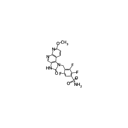 COc1ccc2c(ncc3[nH]c(=O)n(Cc4c(F)cc(S(N)(=O)=O)c(F)c4F)c32)n1